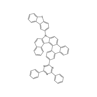 c1ccc(-c2nc(-c3ccccc3)nc(-c3ccc4c(c3)c3ccccc3c3ccc5c(c34)c3c4ccccc4ccc3n5-c3ccc4sc5ccccc5c4c3)n2)cc1